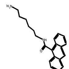 NCCCCCCNC(=O)c1c2ccccc2cc2ccccc12